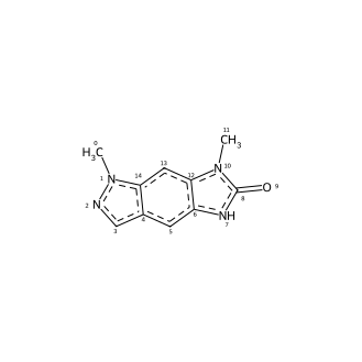 Cn1ncc2cc3[nH]c(=O)n(C)c3cc21